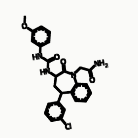 COc1cccc(NC(=O)NC2CC(c3cccc(Cl)c3)c3ccccc3N(CC(N)=O)C2=O)c1